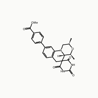 COC(=O)c1ccc(-c2ccc3c(c2)N2C[C@@H](C)O[C@@H](C)[C@@H]2C2(C3)C(=O)NC(=O)NC2=O)cc1